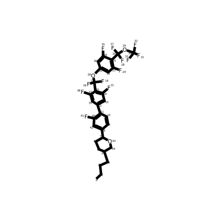 CCCCC1CCC(c2ccc(-c3cc(F)c(C(F)(F)Oc4cc(F)c(C(F)(F)OC(F)(F)F)c(F)c4)c(F)c3)c(F)c2)OC1